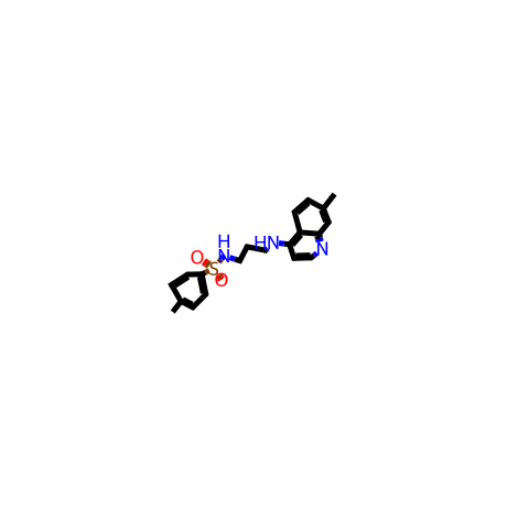 Cc1ccc(S(=O)(=O)NCCCNc2ccnc3cc(C)ccc23)cc1